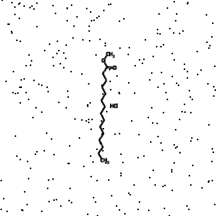 CCCCCCCCCCCCCCC(=O)OC.Cl